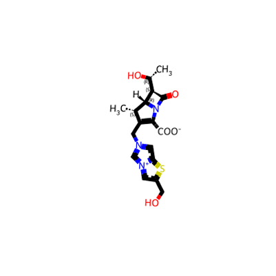 C[C@@H](O)[C@H]1C(=O)N2C(C(=O)[O-])=C(Cn3cc4sc(CO)c[n+]4c3)[C@H](C)[C@H]12